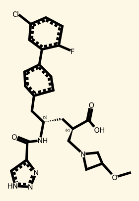 COC1CN(C[C@@H](C[C@@H](Cc2ccc(-c3cc(Cl)ccc3F)cc2)NC(=O)c2c[nH]nn2)C(=O)O)C1